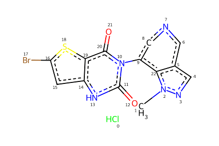 Cl.Cn1ncc2cncc(-n3c(=O)[nH]c4cc(Br)sc4c3=O)c21